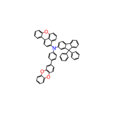 c1ccc(C2(c3ccccc3)c3ccccc3-c3ccc(N(c4ccc(-c5ccc6c(c5)Oc5ccccc5O6)cc4)c4ccc5c6c(cccc46)Oc4ccccc4-5)cc32)cc1